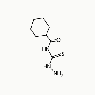 NNC(=S)NC(=O)C1CCCCC1